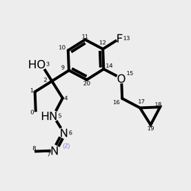 CCC(O)(CN/N=N\C)c1ccc(F)c(OCC2CC2)c1